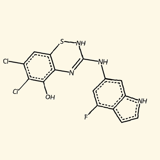 Oc1c(Cl)c(Cl)cc2c1N=C(Nc1cc(F)c3cc[nH]c3c1)NS2